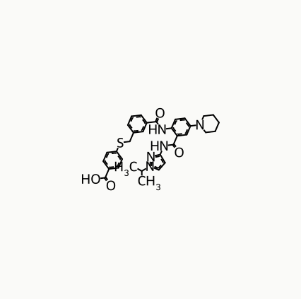 CC(C)n1ccc(NC(=O)c2cc(N3CCCCC3)ccc2NC(=O)c2cccc(CSc3ccc(C(=O)O)cc3)c2)n1